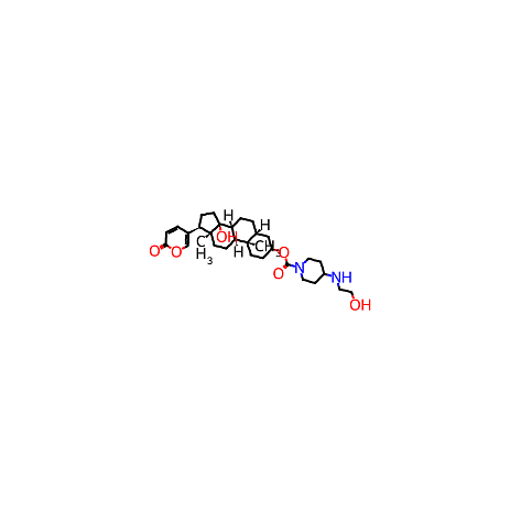 C[C@]12CC[C@H](OC(=O)N3CCC(NCCO)CC3)C[C@H]1CC[C@@H]1[C@@H]2CC[C@]2(C)[C@@H](c3ccc(=O)oc3)CC[C@]12O